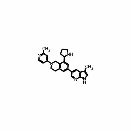 Cc1cc(N2CCc3cc(-c4cnc5[nH]cc(C)c5c4)cc(C4CCCN4)c3C2)ccn1